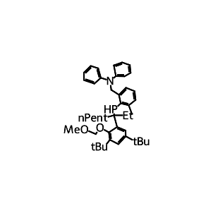 CCCCCC(CC)(Pc1c(C)cccc1CN(c1ccccc1)c1ccccc1)c1cc(C(C)(C)C)cc(C(C)(C)C)c1OCOC